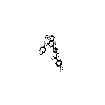 COc1ccc(C(=O)OC2CN(c3nc4c(c(N(C)C5CCOCC5)n3)[S+]([O-])CC4)C2)cc1